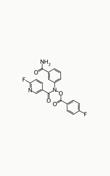 NC(=O)c1cccc(N(OC(=O)c2ccc(F)cc2)C(=O)c2ccc(F)nc2)c1